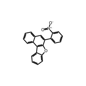 O=[N+]([O-])c1ccccc1-c1cc2ccccc2c2c1oc1ccccc12